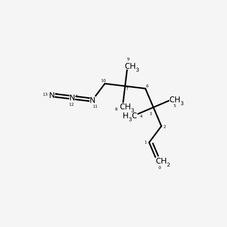 C=CCC(C)(C)CC(C)(C)CN=[N+]=[N-]